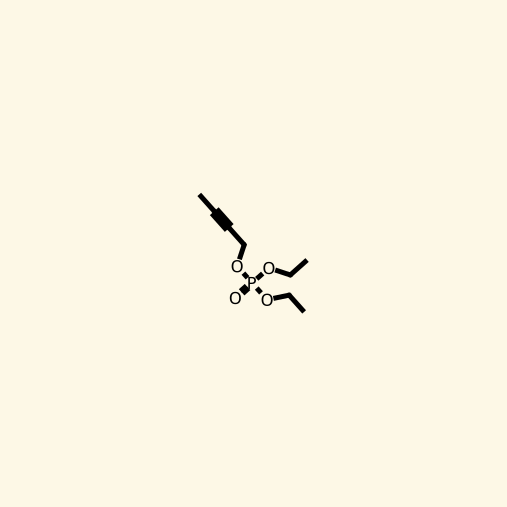 CC#CCOP(=O)(OCC)OCC